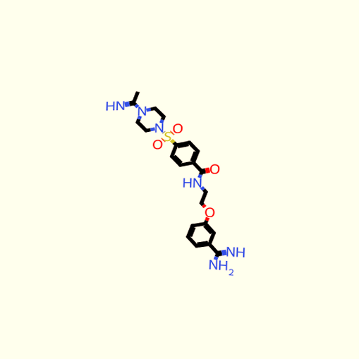 CC(=N)N1CCN(S(=O)(=O)c2ccc(C(=O)NCCOc3cccc(C(=N)N)c3)cc2)CC1